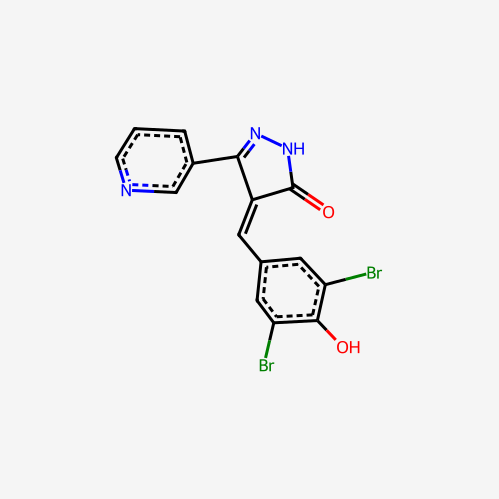 O=C1NN=C(c2cccnc2)C1=Cc1cc(Br)c(O)c(Br)c1